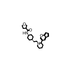 O=C(N[C@H]1CC[C@H](CCN2CCCCC2c2coc3cccc-3c2)CC1)C1CCOC1